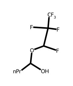 CCCC(O)OC(F)C(F)(F)C(F)(F)F